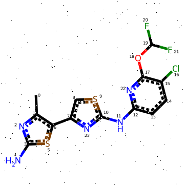 Cc1nc(N)sc1-c1csc(Nc2ccc(Cl)c(OC(F)F)n2)n1